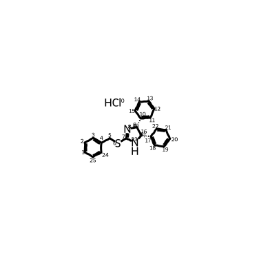 Cl.c1ccc(CSC2=N[C@H](c3ccccc3)[C@H](c3ccccc3)N2)cc1